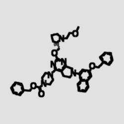 COCCN1CCC[C@H]1COc1nc2c(c(N3CCN(C(=O)OCc4ccccc4)CC3)n1)CCN(c1cc(OCc3ccccc3)cc3ccccc13)C2